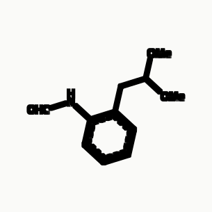 COC(Cc1ccccc1NC=O)OC